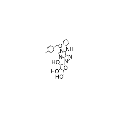 Cc1ccc(COC2CCC[C@@H]2Nc2ncnc3c2ncn3C2OC(CO)[C@@H](O)[C@H]2O)cc1